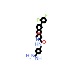 N=C(N)c1ccc(CNC(=O)c2cc3c(cn2)c2oc3c3cc(-c4ccc(F)cc4F)ccc32)cc1